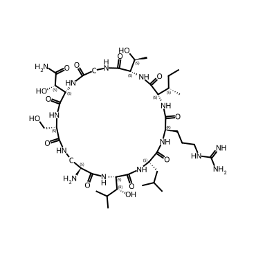 CC[C@H](C)[C@@H]1NC(=O)[C@@H](CCCNC(=N)N)NC(=O)[C@H](CC(C)C)NC(=O)[C@H]([C@H](O)C(C)C)NC(=O)[C@@H](N)CNC(=O)[C@H](CO)NC(=O)[C@H]([C@H](O)C(N)=O)NC(=O)CNC(=O)[C@H]([C@H](C)O)NC1=O